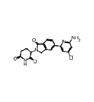 Nc1cc(Cl)cc(-c2ccc3c(c2)CN(C2CCC(=O)NC2=O)C3=O)n1